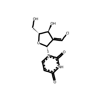 O=c1ccn([C@@H]2O[C@H](CO)[C@@H](O)C2=CCl)c(=O)[nH]1